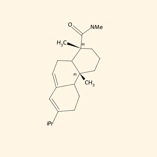 CNC(=O)[C@]1(C)CCC[C@]2(C)C3CCC(C(C)C)=CC3=CCC21